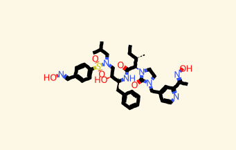 CC[C@H](C)[C@@H](C(=O)N[C@@H](Cc1ccccc1)[C@H](O)CN(CC(C)C)S(=O)(=O)c1ccc(C=NO)cc1)N1CCN(Cc2ccnc(C(C)=NO)c2)C1=O